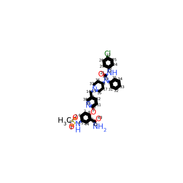 CS(=O)(=O)Nc1ccc(Oc2ccc(CN3CCC(N(C(=O)Nc4ccc(Cl)cc4)c4ccccc4)CC3)cn2)c(C(N)=O)c1